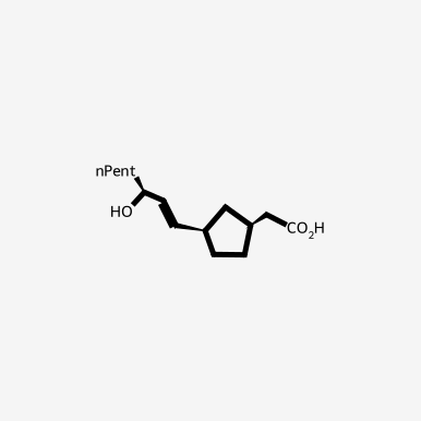 CCCCC[C@H](O)C=C[C@@H]1CC[C@H](CC(=O)O)C1